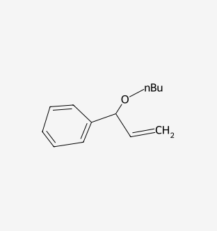 C=CC(OCCCC)c1ccccc1